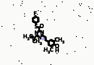 Cc1cc(/C=C/c2nc(C(=O)Sc3ccc(F)cc3)nc(N(C)C)n2)cc(C)c1O